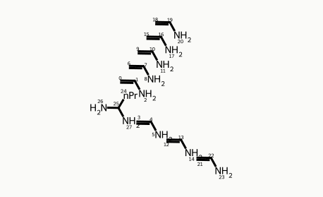 C=CN.C=CN.C=CN.C=CN.C=CN.C=CN.C=CN.C=CN.CCCC(N)N